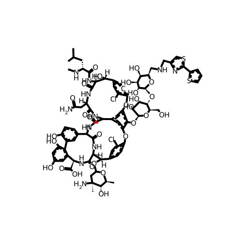 CN[C@H](CC(C)C)C(=O)N[C@H]1C(=O)N[C@@H](CC(N)=O)C(=O)N[C@H]2C(=O)N[C@H]3C(=O)N[C@H](C(=O)N[C@@H](C(=O)O)c4cc(O)cc(O)c4-c4cc3ccc4O)[C@H](OC3C[C@](C)(N)[C@@H](O)[C@H](C)O3)c3ccc(c(Cl)c3)Oc3cc2cc(c3O[C@@H]2O[C@H](CO)[C@@H](O[C@@H]3O[C@H](CNCc4csc(-c5cccs5)n4)[C@H](O)[C@H](O)[C@H]3O)[C@H](O)[C@H]2O)Oc2ccc(cc2Cl)[C@H]1O